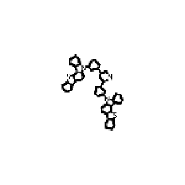 c1cc(-c2cncc(-c3cccc(-n4c5ccccc5c5c6sc7ccccc7c6ccc54)c3)c2)cc(-n2c3ccccc3c3c4sc5ccccc5c4ccc32)c1